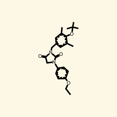 CCOc1ccc(N2CC(=O)N(Cc3cc(C)c(OC(C)(C)C)c(C)c3)C2=O)cc1